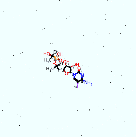 CCC(C)(C[C@H]1O[C@@H](n2cc(I)c(N)nc2=O)[C@H](O)[C@@H]1O)OP(=O)(O)C(C)(O)CC